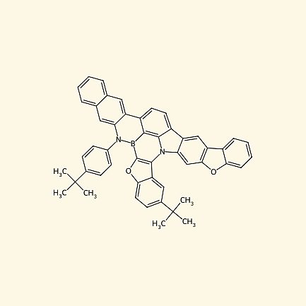 CC(C)(C)c1ccc(N2B3c4oc5ccc(C(C)(C)C)cc5c4-n4c5cc6oc7ccccc7c6cc5c5ccc(c3c54)-c3cc4ccccc4cc32)cc1